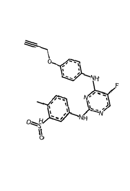 C#CCOc1ccc(Nc2nc(Nc3ccc(C)c([SH](=O)=O)c3)ncc2F)cc1